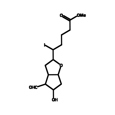 COC(=O)CCCC(I)C1CC2C(CC(O)C2C=O)O1